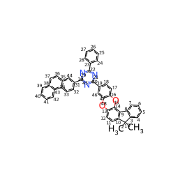 CC1(C)c2ccccc2-c2c1ccc1c2Oc2ccc(-c3nc(-c4ccccc4)nc(-c4ccc5c(ccc6ccccc65)c4)n3)cc2O1